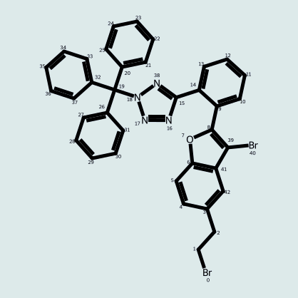 BrCCc1ccc2oc(-c3ccccc3-c3nnn(C(c4ccccc4)(c4ccccc4)c4ccccc4)n3)c(Br)c2c1